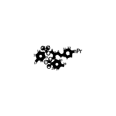 CCCC1CCC(CCC(COS(=O)(=O)c2ccc(C)cc2)COS(=O)(=O)c2ccc(C)cc2)CC1